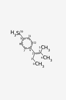 CCC(=C(C)C)c1ccc([SiH3])cc1